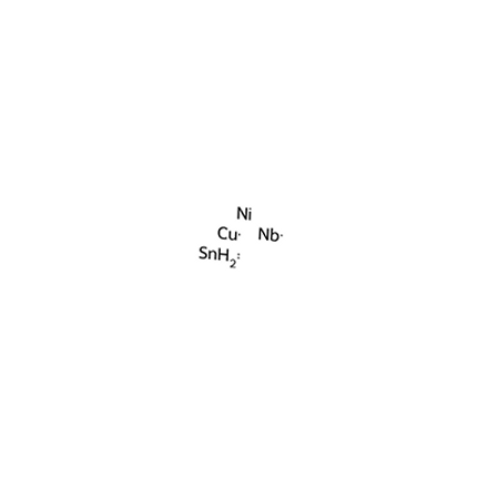 [Cu].[Nb].[Ni].[SnH2]